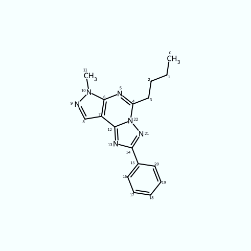 CCCCc1nc2c(cnn2C)c2nc(-c3ccccc3)nn12